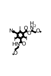 COCCNC(=O)c1c(I)c(C#N)c(I)c(C(=O)OC(N)COC)c1I